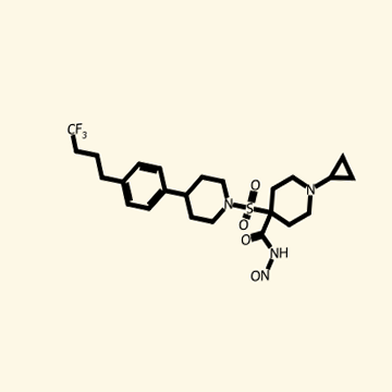 O=NNC(=O)C1(S(=O)(=O)N2CCC(c3ccc(CCCC(F)(F)F)cc3)CC2)CCN(C2CC2)CC1